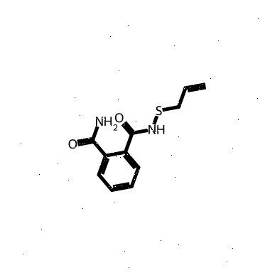 C=CCSNC(=O)c1ccccc1C(N)=O